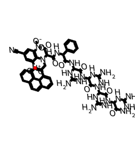 N#Cc1cc([N+](=O)[O-])c(N(CC2=CC3=C4C(=CC=C5C=CC=C2C54)CC=C3)C(CO)C(=O)NC(C(=O)NC(NC(=N)N)C(=O)NC(NC(=N)N)C(=O)NC(NC(=N)N)C(=O)NC(NC(=N)N)C(N)=O)c2ccccc2)c([N+](=O)[O-])c1